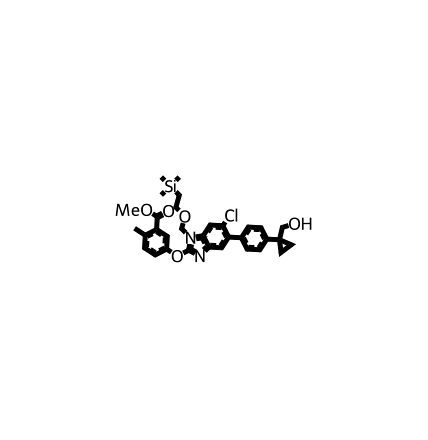 COC(=O)c1cc(Oc2nc3cc(-c4ccc(C5(CO)CC5)cc4)c(Cl)cc3n2COCC[Si](C)(C)C)ccc1C